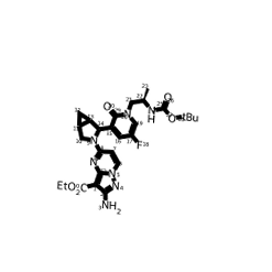 CCOC(=O)c1c(N)nn2ccc(N3CC4CC4C3c3cc(F)cn(C[C@@H](C)NC(=O)OC(C)(C)C)c3=O)nc12